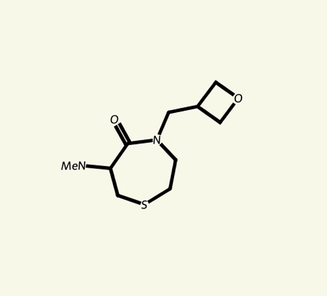 CNC1CSCCN(CC2COC2)C1=O